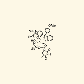 COc1ccc(C(OC[C@@H]2O[C@@H](n3cc(C)c(=O)[nH]c3=O)[C@H](O[Si](C)(C)C(C)(C)C)[C@@H]2C(C#N)COP(O)N(C(C)C)C(C)C)(c2ccccc2)c2ccc(OC)cc2)cc1